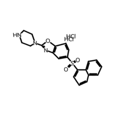 Cl.Cl.O=S(=O)(c1ccc2oc(N3CCNCC3)nc2c1)c1cccc2ccccc12